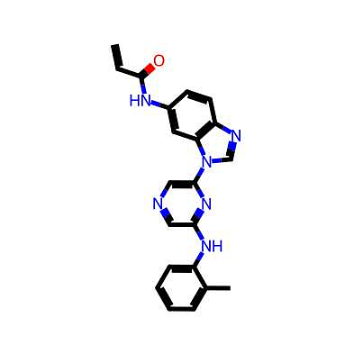 C=CC(=O)Nc1ccc2ncn(-c3cncc(Nc4ccccc4C)n3)c2c1